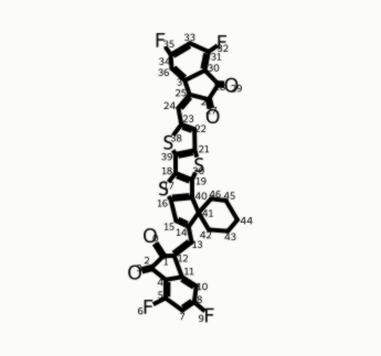 O=C1C(=O)c2c(F)cc(F)cc2/C1=C/C1=Cc2sc3c(sc4cc(/C=C5\C(=O)C(=O)c6c(F)cc(F)cc65)sc43)c2C12CCCCC2